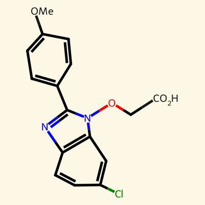 COc1ccc(-c2nc3ccc(Cl)cc3n2OCC(=O)O)cc1